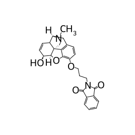 CN1CC[C@]23c4c5ccc(OCCCN6C(=O)c7ccccc7C6=O)c4O[C@H]2[C@@H](O)C=CC3[C@H]1C5